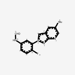 CC(C)(C)c1cnc2nn(-c3cc(NC=O)ccc3F)cc2c1